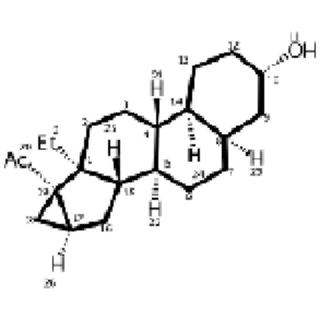 CC[C@]12CC[C@H]3[C@@H](CC[C@@H]4C[C@@H](O)CC[C@@H]43)[C@@H]1C[C@H]1C[C@]12C(C)=O